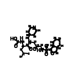 CC(C)CC(NC(=O)O)C(=O)N(CC(=O)CNS(=O)(=O)c1occ2ccccc12)Cc1ccncc1